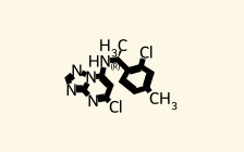 Cc1ccc([C@@H](C)Nc2cc(Cl)nc3ncnn23)c(Cl)c1